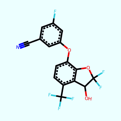 N#Cc1cc(F)cc(Oc2ccc(C(F)(F)F)c3c2OC(F)(F)C3O)c1